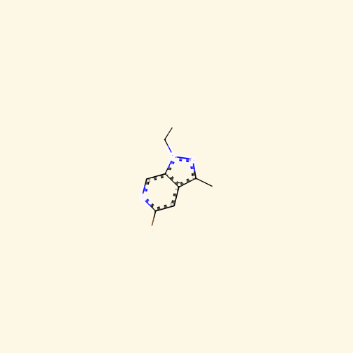 Cc1nn(CC(F)(F)F)c2cnc(Br)cc12